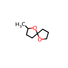 CC1CCC2(CCCO2)O1